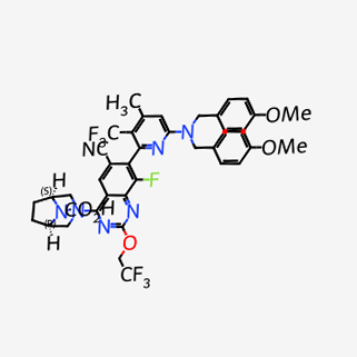 COc1ccc(CN(Cc2ccc(OC)cc2)c2cc(C)c(C(F)(F)F)c(-c3c(C#N)cc4c(N5C[C@H]6CC[C@@H](C5)N6C(=O)O)nc(OCC(F)(F)F)nc4c3F)n2)cc1